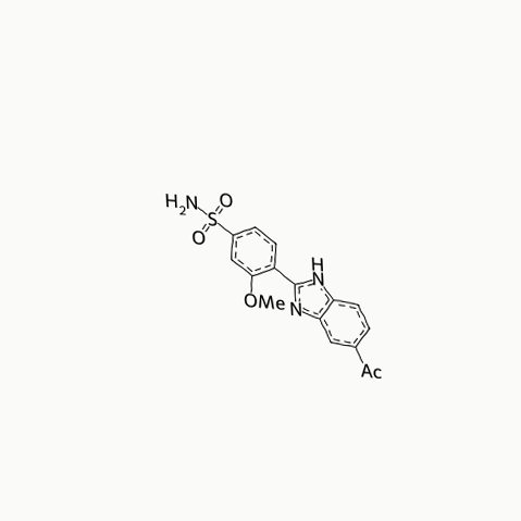 COc1cc(S(N)(=O)=O)ccc1-c1nc2cc(C(C)=O)ccc2[nH]1